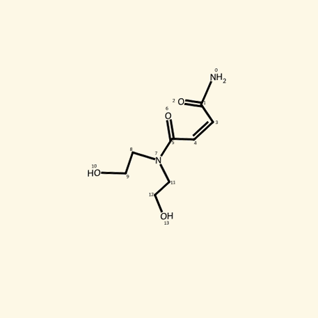 NC(=O)/C=C\C(=O)N(CCO)CCO